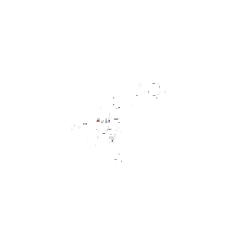 COC12CCC3(CC1C(C)(O)C(C)(C)C)C1Cc4ccc(OC(=O)OCCC5=CCc6ccccc6C5)c5c4C3(CCN1CC1CC1)C2O5